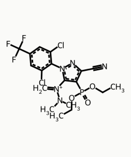 C=[N+](c1c(P(=O)(OCC)OCC)c(C#N)nn1-c1c(Cl)cc(C(F)(F)F)cc1Cl)N(C)C